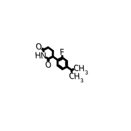 CC(C)c1ccc(C2CCC(=O)NC2=O)c(F)c1